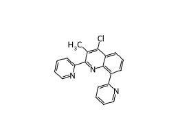 Cc1c(-c2ccccn2)nc2c(-c3ccccn3)cccc2c1Cl